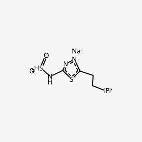 CC(C)CCc1nnc(N[SH](=O)=O)s1.[Na]